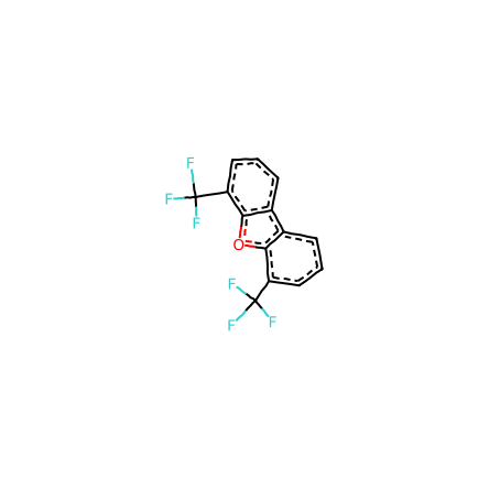 FC(F)(F)c1cccc2c1oc1c(C(F)(F)F)cccc12